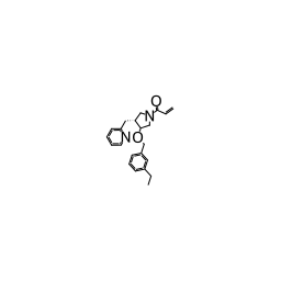 C=CC(=O)N1C[C@@H](Cc2ccccn2)[C@H](OCc2cccc(CC)c2)C1